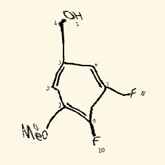 COc1cc(CO)cc(F)c1F